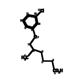 CC(CCCC(=O)O)COc1cccc(Cl)c1